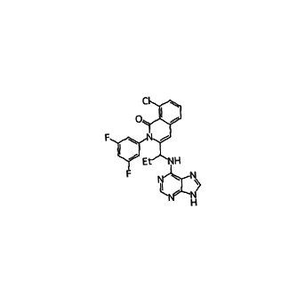 CCC(Nc1ncnc2[nH]cnc12)c1cc2cccc(Cl)c2c(=O)n1-c1cc(F)cc(F)c1